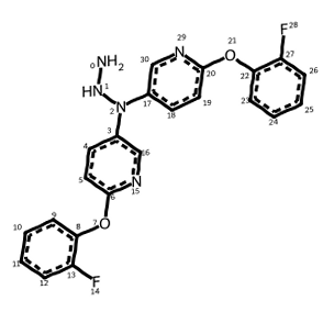 NNN(c1ccc(Oc2ccccc2F)nc1)c1ccc(Oc2ccccc2F)nc1